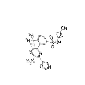 [2H]C([2H])([2H])c1ccc(S(=O)(=O)NC23CC(C#N)(C2)C3)cc1-c1cnc(N)c(-c2cnco2)n1